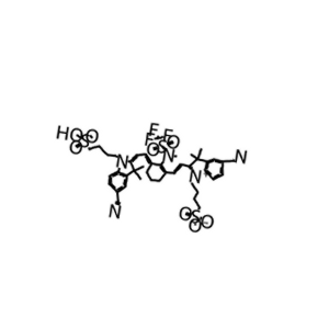 CN(C1=C(/C=C/C2=[N+](CCCCS(=O)(=O)[O-])c3ccc(C#N)cc3C2(C)C)CCC/C1=C\C=C1\N(CCCCS(=O)(=O)O)c2ccc(C#N)cc2C1(C)C)S(=O)(=O)C(F)(F)F